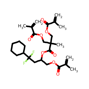 C=C(C)C(=O)OCC(CC(F)(F)C1CCCCC1)OC(=O)C(C)(COC(=O)C(=C)C)COC(=O)C(=C)C